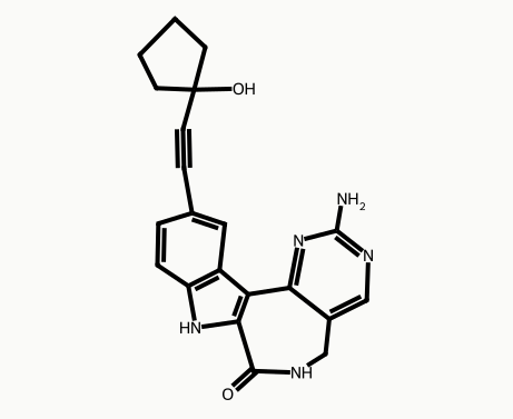 Nc1ncc2c(n1)-c1c([nH]c3ccc(C#CC4(O)CCCC4)cc13)C(=O)NC2